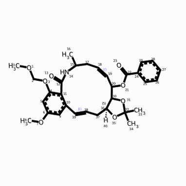 COCOc1cc(OC)cc2c1C(=O)NC(C)C/C=C\C(OC(=O)c1ccccc1)C1OC(C)(C)O[C@H]1C/C=C/2